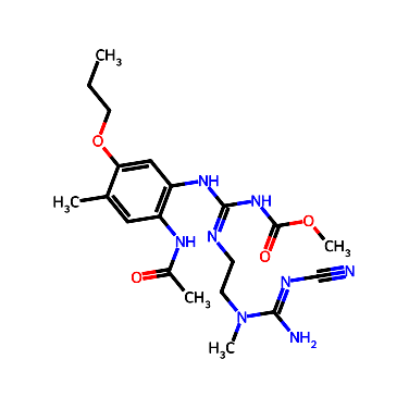 CCCOc1cc(NC(=NCCN(C)C(N)=NC#N)NC(=O)OC)c(NC(C)=O)cc1C